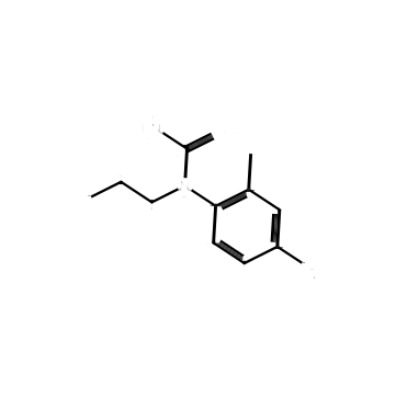 Cc1cc(Br)ccc1N(CCCl)C(N)=O